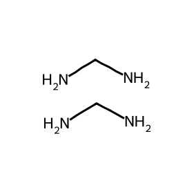 NCN.NCN